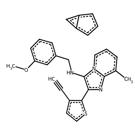 C#Cc1ccsc1-c1nc2c(C)cccn2c1NCc1cccc(OC)c1.c1cc2cc-2c1